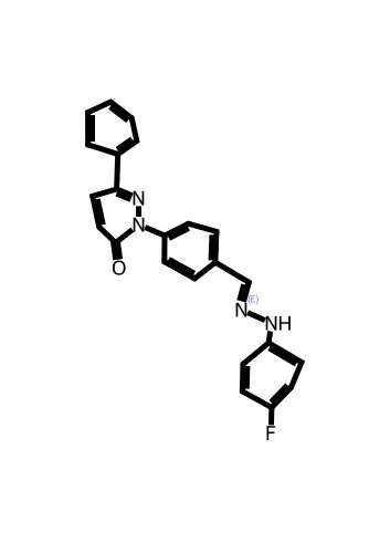 O=c1ccc(-c2ccccc2)nn1-c1ccc(/C=N/Nc2ccc(F)cc2)cc1